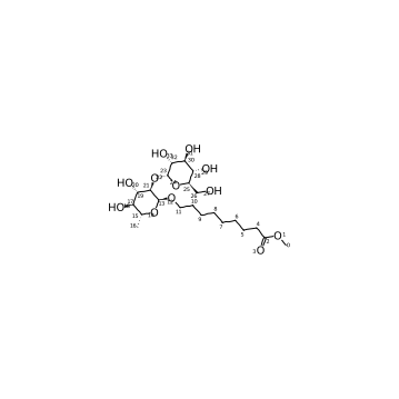 COC(=O)CCCCCCCCO[C@H]1O[C@H](C)[C@@H](O)[C@H](O)[C@H]1O[C@H]1O[C@H](CO)[C@@H](O)[C@H](O)[C@H]1O